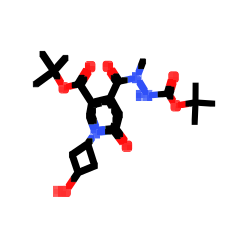 CN(NC(=O)OC(C)(C)C)C(=O)c1cc(=O)n(C2CC(O)C2)cc1C(=O)OC(C)(C)C